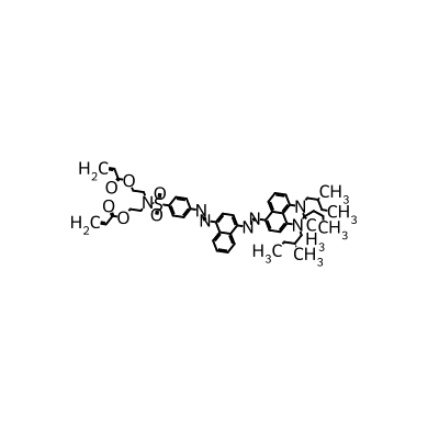 C=CC(=O)OCCN(CCOC(=O)C=C)S(=O)(=O)c1ccc(/N=N/c2ccc(/N=N/c3ccc4c5c(cccc35)N(C[C@@H](C)CC)C(C)(CCC)N4C[C@H](C)CC)c3ccccc23)cc1